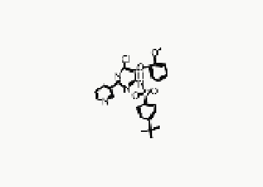 COc1ccccc1Oc1c(Cl)nc(-c2cccnc2)nc1NS(=O)(=O)c1ccc(C(C)(C)C)cc1